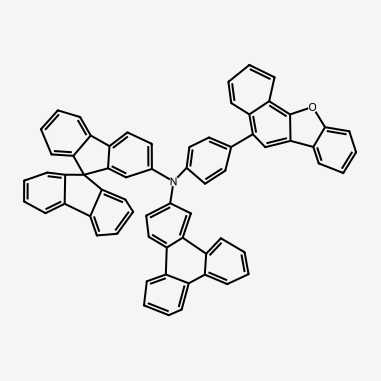 c1ccc2c(c1)-c1ccccc1C21c2ccccc2-c2ccc(N(c3ccc(-c4cc5c6ccccc6oc5c5ccccc45)cc3)c3ccc4c5ccccc5c5ccccc5c4c3)cc21